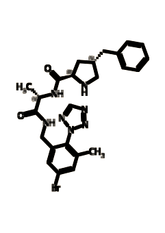 Cc1cc(Br)cc(CNC(=O)[C@H](C)NC(=O)[C@H]2C[C@H](Cc3ccccc3)CN2)c1-n1ncnn1